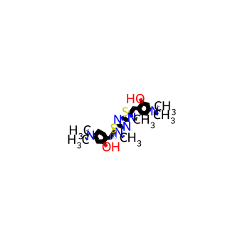 CN(C)c1ccc(C=C2Sc3nc4c(nc3N2C)N(C)/C(=C/c2ccc(N(C)C)cc2O)S4)c(O)c1